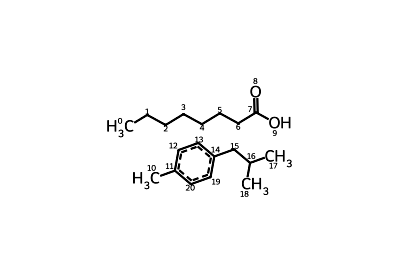 CCCCCCCC(=O)O.Cc1ccc(CC(C)C)cc1